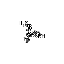 Cc1ccnc(COc2ccc(C(F)(F)F)cc2-c2ccc3c(c2)CNCC3)c1